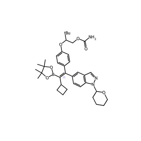 CC(C)(C)C(COC(N)=O)Oc1ccc(/C(=C(\B2OC(C)(C)C(C)(C)O2)C2CCC2)c2ccc3c(cnn3C3CCCCO3)c2)cc1